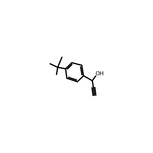 C#CC(O)c1ccc(C(C)(C)C)cc1